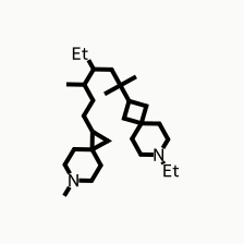 CCC(CC(C)(C)C1CC2(CCN(CC)CC2)C1)C(C)CCC1CC12CCN(C)CC2